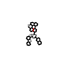 c1ccc2cc(C3=NC(c4ccc(-c5cccc6ccc7ncc8ccccc8c7c56)cc4)NC(c4cccc5c4sc4ccccc45)=N3)ccc2c1